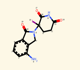 Nc1cccc2c1CN(C1(I)CCC(=O)NC1=O)C2=O